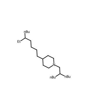 CCCCC(CC)CCCCC1CCN(CC(CCCC)CCCC)CC1